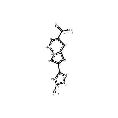 Cn1nnc(-c2cc3cc(C(N)=O)cnn3c2)n1